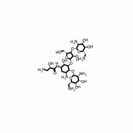 NC[C@@H]1O[C@H](O[C@H]2[C@@H](O)[C@H](O[C@@H]3[C@@H](O)[C@H](NC(=O)[C@@H](O)CN)C[C@H](N)[C@H]3O[C@H]3O[C@H](CN)[C@@H](O)[C@@H](O)[C@H]3N)O[C@@H]2CO)[C@H](N)[C@@H](O)[C@H]1O